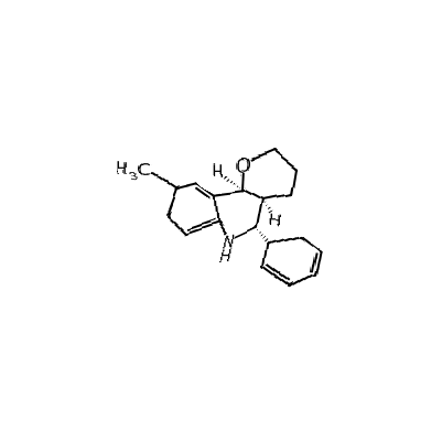 CC1C=C2C(=CC1)N[C@@H](C1C=CC=CC1)[C@@H]1CCCO[C@H]21